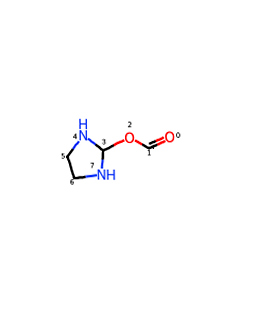 O=[C]OC1NCCN1